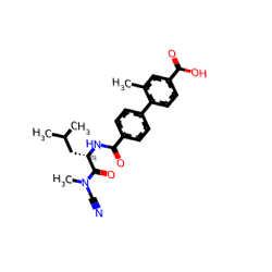 Cc1cc(C(=O)O)ccc1-c1ccc(C(=O)N[C@@H](CC(C)C)C(=O)N(C)C#N)cc1